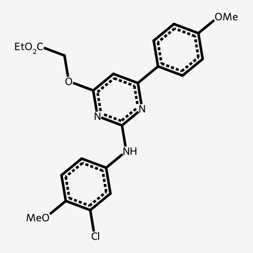 CCOC(=O)COc1cc(-c2ccc(OC)cc2)nc(Nc2ccc(OC)c(Cl)c2)n1